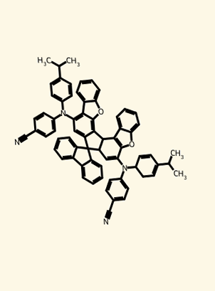 CC(C)C1=CCC(N(C2=CC3C(c4c2oc2ccccc42)c2c(cc(N(c4ccc(C#N)cc4)c4ccc(C(C)C)cc4)c4c2oc2ccccc24)C32c3ccccc3-c3ccccc32)c2ccc(C#N)cc2)C=C1